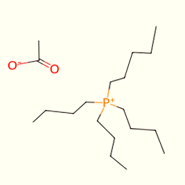 CC(=O)[O-].CCCCC[P+](CCCC)(CCCC)CCCC